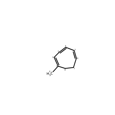 C/C1=C/C=C\C=C/CC1